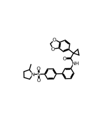 CC1CCCN1S(=O)(=O)c1ccc(-c2cccc(NC(=O)C3(c4ccc5c(c4)OCO5)CC3)c2)cc1